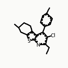 CCc1nc2sc3c(c2c(-c2ccc(C)cc2)c1Cl)CCC(C)C3